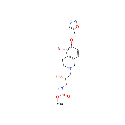 CC(C)(C)OC(=O)NC[C@H](O)CN1CCc2c(ccc(OCc3cnco3)c2Br)C1